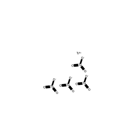 [O]=[Ta](=[O])[O-].[O]=[Ta](=[O])[O-].[O]=[Ta](=[O])[O-].[O]=[Ta](=[O])[O-].[Ti+4]